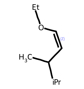 CCO/C=C\C(C)C(C)C